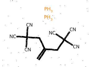 C=C(CC(C#N)(C#N)C#N)CC(C#N)(C#N)C#N.P.P